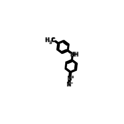 Cc1ccc(NC2=CCC(=[N+]=[N-])C=C2)cc1